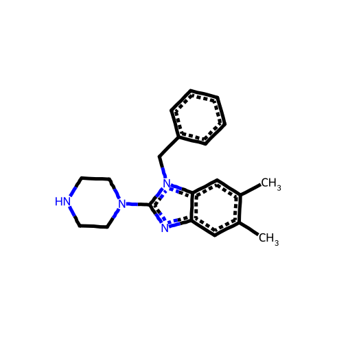 Cc1cc2nc(N3CCNCC3)n(Cc3ccccc3)c2cc1C